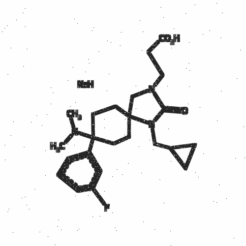 CN(C)C1(c2cccc(F)c2)CCC2(CC1)CN(CCC(=O)O)C(=O)N2CC1CC1.[NaH]